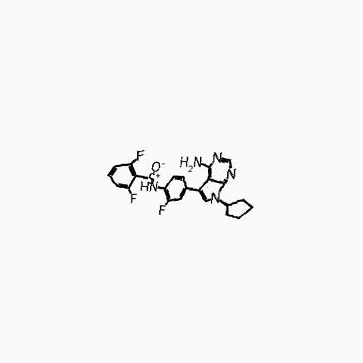 Nc1ncnc2c1c(-c1ccc(N[S+]([O-])c3c(F)cccc3F)c(F)c1)cn2C1CCCC1